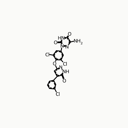 Nc1nn(-c2cc(Cl)c(Oc3cc(-c4cccc(Cl)c4)c(=O)[nH]n3)c(Cl)c2)c(=O)[nH]c1=O